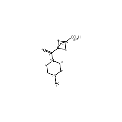 CC(=O)N1CCN(C(=O)C23CC(C(=O)O)(C2)C3)CC1